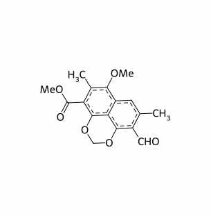 COC(=O)c1c(C)c(OC)c2cc(C)c(C=O)c3c2c1OCO3